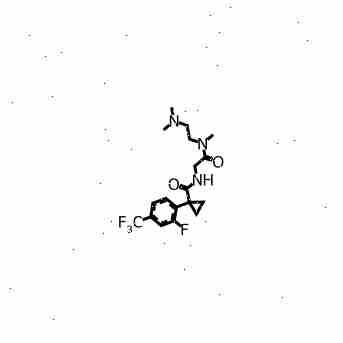 CN(C)CCN(C)C(=O)CNC(=O)C1(c2ccc(C(F)(F)F)cc2F)CC1